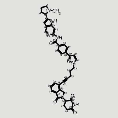 CN1CCC[C@@H]1c1cc2cnc(NC(=O)c3ccc(-c4ccn(CCCC#Cc5cccc6c5CN(C5CCC(=O)NC5=O)C6=O)n4)cc3)cc2[nH]1